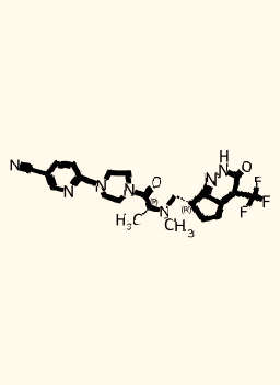 C[C@H](C(=O)N1CCN(c2ccc(C#N)cn2)CC1)N(C)C[C@H]1CCc2c1n[nH]c(=O)c2C(F)(F)F